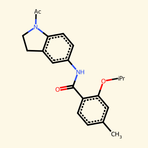 CC(=O)N1CCc2cc(NC(=O)c3ccc(C)cc3OC(C)C)ccc21